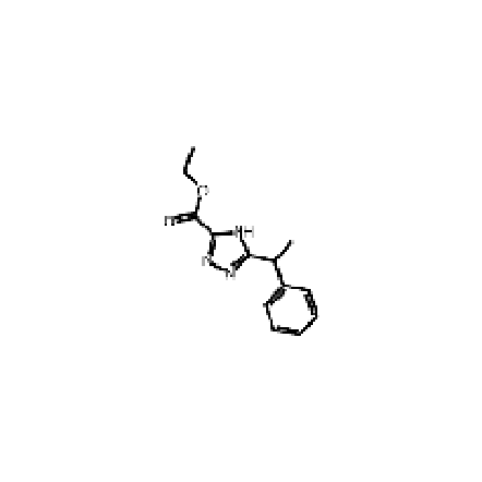 CCOC(=O)c1nnc(C(C)c2ccccc2)[nH]1